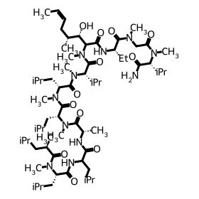 C/C=C\C[C@@H](C)[C@H](O)C(C(=O)N[C@@H](CC)C(=O)N(C)CC(=O)N(C)[C@@H](C(N)=O)C(C)C)N(C)C(=O)[C@H](C(C)C)N(C)C(=O)[C@@H](CC(C)C)N(C)C(=O)[C@@H](CC(C)C)N(C)C(=O)[C@H](C)NC(=O)C(CC(C)C)NC(=O)[C@H](CC(C)C)N(C)C(=O)[C@H](C)CC(C)C